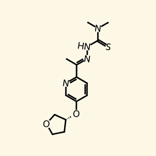 C/C(=N\NC(=S)N(C)C)c1ccc(O[C@@H]2CCOC2)cn1